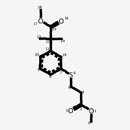 COC(=O)CCSc1cccc(C(C)(C)C(=O)OC)c1